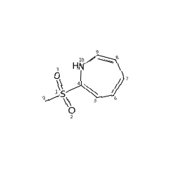 CS(=O)(=O)C1=CC=CC=CN1